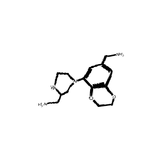 NCc1cc2c(c(N3CCNC(CN)C3)c1)OCCO2